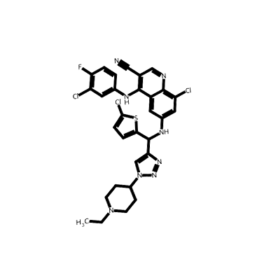 CCN1CCC(n2cc(C(Nc3cc(Cl)c4ncc(C#N)c(Nc5ccc(F)c(Cl)c5)c4c3)c3ccc(Cl)s3)nn2)CC1